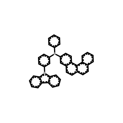 c1ccc(N(c2cccc(-n3c4ccccc4c4ccccc43)c2)c2ccc3c(ccc4ccc5ccccc5c43)c2)cc1